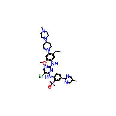 CCc1cc(Nc2ncc(Br)c(Nc3ccc(-c4ncc(C)cn4)cc3P(C)(C)=O)n2)c(OC)cc1N1CCC(N2CCN(C)CC2)CC1